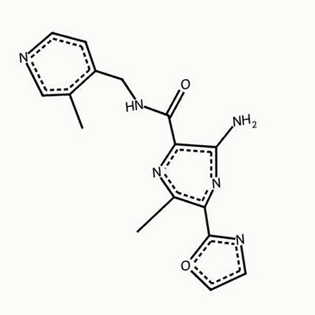 Cc1cnccc1CNC(=O)c1nc(C)c(-c2ncco2)nc1N